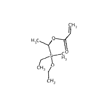 C=CC(=O)OC(C)[Si](C)(CC)OCC